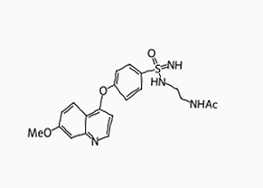 COc1ccc2c(Oc3ccc(S(=N)(=O)NCCNC(C)=O)cc3)ccnc2c1